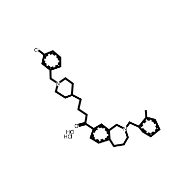 Cc1ccccc1CN1CCCc2ccc(C(=O)CCCC3CCN(Cc4cccc(Cl)c4)CC3)cc2C1.Cl.Cl